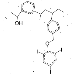 CCC(CC(C)c1cccc(C(C)O)c1)c1ccc(COc2c(I)cc(I)cc2I)cc1